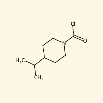 CC(C)C1CCN(C(=O)Cl)CC1